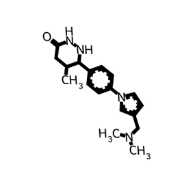 CC1CC(=O)NNC1c1ccc(-n2ccc(CN(C)C)c2)cc1